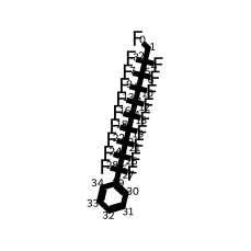 FCC(F)(F)C(F)(F)C(F)(F)C(F)(F)C(F)(F)C(F)(F)C(F)(F)C(F)(F)C(F)(F)c1cc[c]cc1